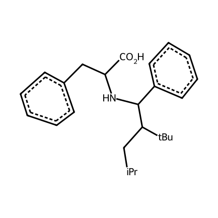 CC(C)CC(C(NC(Cc1ccccc1)C(=O)O)c1ccccc1)C(C)(C)C